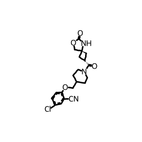 N#Cc1cc(Cl)ccc1OCC1CCN(C(=O)[C@H]2C[C@]3(COC(=O)N3)C2)CC1